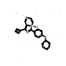 N[N+]12C=CN=CC1=C(C1=CC=C1)N=C2c1ccc(Sc2ccccc2)cc1